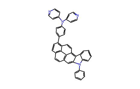 c1ccc(-n2c3ccccc3c3c4ccc5c(-c6ccc(N(c7ccncc7)c7ccncc7)cc6)ccc6ccc(cc32)c4c65)cc1